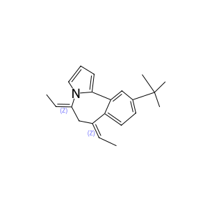 C/C=C1/C/C(=C/C)n2cccc2-c2cc(C(C)(C)C)ccc21